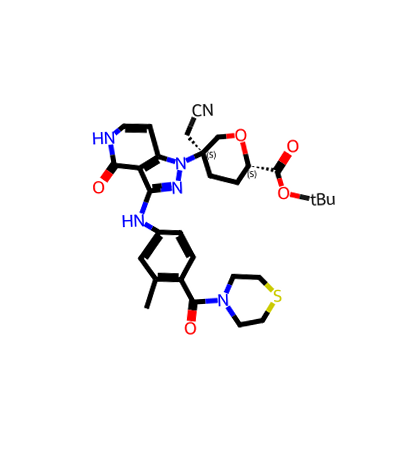 Cc1cc(Nc2nn([C@]3(CC#N)CC[C@@H](C(=O)OC(C)(C)C)OC3)c3cc[nH]c(=O)c23)ccc1C(=O)N1CCSCC1